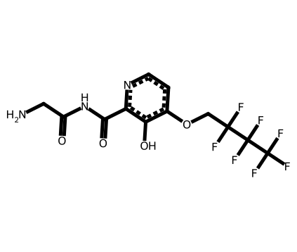 NCC(=O)NC(=O)c1nccc(OCC(F)(F)C(F)(F)C(F)(F)F)c1O